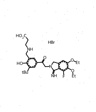 Br.CCOc1cc2c(c(F)c1OCC)C(=N)N(CC(=O)c1cc(CNCCC(=O)O)c(O)c(C(C)(C)C)c1)C2